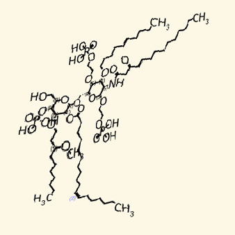 CCCCCC/C=C\CCCCCCCCCC(=O)O[C@H]1[C@H](OC[C@H]2O[C@H](OCCOP(=O)(O)O)[C@@H](NC(=O)CC(=O)CCCCCCCCCCC)[C@@H](OCCCCCCCCCC)[C@@H]2OCCOP(=O)(O)O)O[C@H](CO)[C@@H](OP(=O)(O)O)[C@@H]1OCC[C@H](CCCCCCC)OC